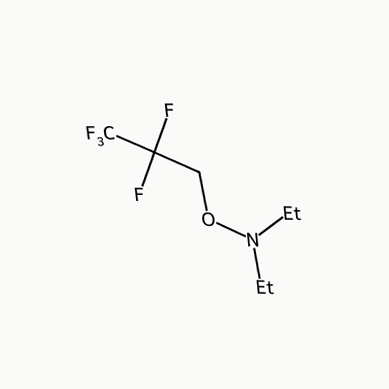 CCN(CC)OCC(F)(F)C(F)(F)F